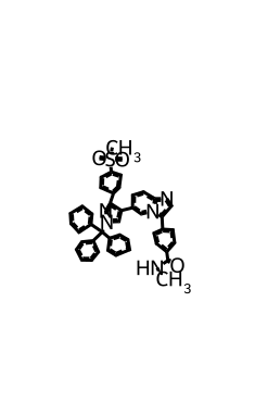 CNC(=O)c1ccc(-c2cnc3ccc(-c4cn(C(c5ccccc5)(c5ccccc5)c5ccccc5)nc4-c4ccc(S(C)(=O)=O)cc4)cn23)cc1